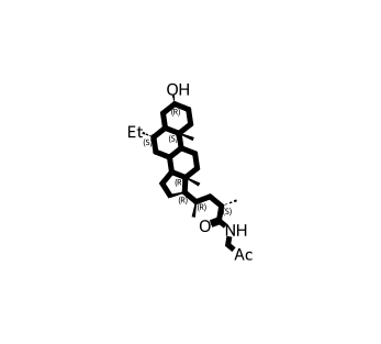 CC[C@H]1CC2C(CC[C@@]3(C)C2CC[C@@H]3[C@H](C)C[C@H](C)C(=O)NCC(C)=O)[C@@]2(C)CC[C@@H](O)CC12